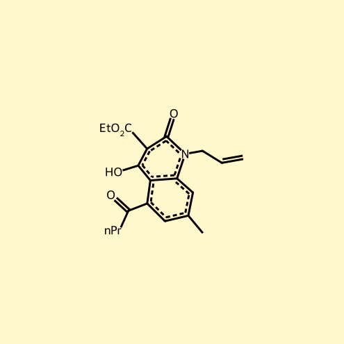 C=CCn1c(=O)c(C(=O)OCC)c(O)c2c(C(=O)CCC)cc(C)cc21